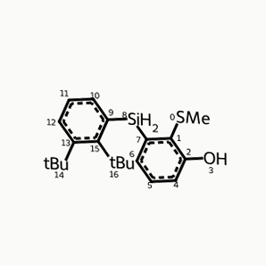 CSc1c(O)cccc1[SiH2]c1cccc(C(C)(C)C)c1C(C)(C)C